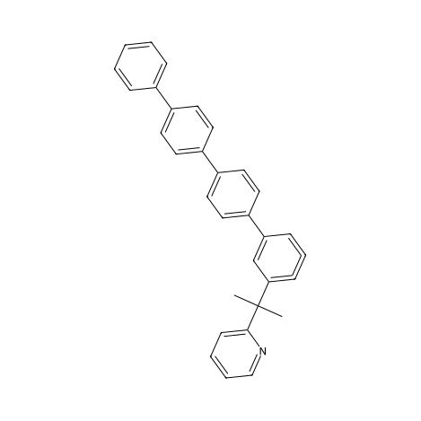 CC(C)(C1=C=C=CC(c2ccc(-c3ccc(-c4ccccc4)cc3)cc2)=C1)c1ccccn1